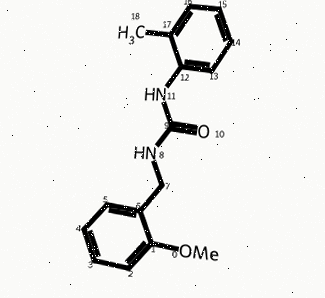 COc1ccccc1CNC(=O)Nc1ccccc1C